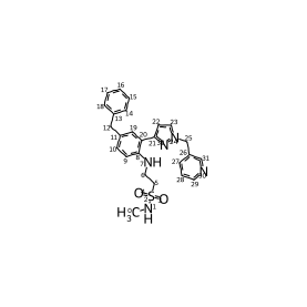 CNS(=O)(=O)CCNc1ccc(Cc2ccccc2)cc1-c1ccn(Cc2cccnc2)n1